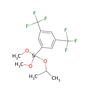 CO[Si](OC)(OC(C)C)c1cc(C(F)(F)F)cc(C(F)(F)F)c1